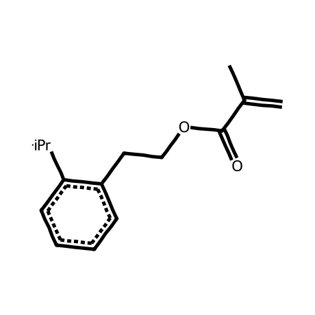 C=C(C)C(=O)OCCc1ccccc1[C](C)C